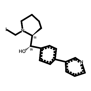 O[C@@H](c1ccc(-c2cccnc2)cc1)[C@@H]1CCCCN1CI